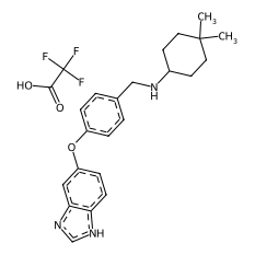 CC1(C)CCC(NCc2ccc(Oc3ccc4[nH]cnc4c3)cc2)CC1.O=C(O)C(F)(F)F